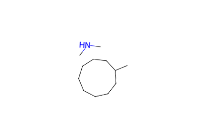 CC1CCCCCCCC1.CNC